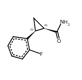 NC(=O)[C@@H]1C[C@@H]1c1ccccc1F